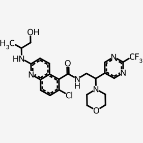 CC(CO)Nc1ccc2c(C(=O)NCC(c3cnc(C(F)(F)F)nc3)N3CCOCC3)c(Cl)ccc2n1